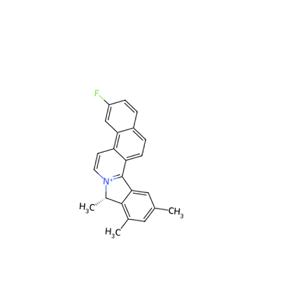 Cc1cc(C)c2c(c1)-c1c3ccc4ccc(F)cc4c3cc[n+]1[C@H]2C